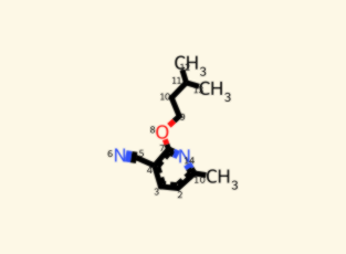 Cc1ccc(C#N)c(OCCC(C)C)n1